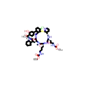 COC(=O)c1ccc(-c2ccc(Cl)c3c2CNC(=O)[C@H](Cc2cn(C(=O)O)c4ccccc24)N(C)C(=O)[C@H](CCCCNC(=O)OC(C)(C)C)NC(=O)[C@H](CCCNC(=O)OC(C)(C)C)NCc2cccnc2S3)cc1O